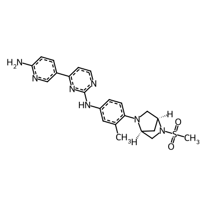 Cc1cc(Nc2nccc(-c3ccc(N)nc3)n2)ccc1N1C[C@@H]2C[C@H]1CN2S(C)(=O)=O